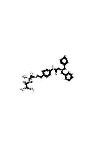 C[C@@H](N)C(=O)N[C@H](C)C(=O)NCCc1ccc(NC(=O)CN(Cc2ccccc2)Cc2ccccc2)cc1